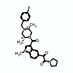 C[C@@H]1CN(Cc2ccc(F)cc2)[C@@H](C)CN1C(=O)c1cn(C)c2ccc(C(=O)C(=O)N3CCCC3)cc12